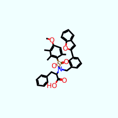 COc1cc(C)c(S(=O)(=O)N(Cc2cccc(-c3cc4ccccc4o3)c2)C(Cc2ccccc2)C(=O)O)c(C)c1C